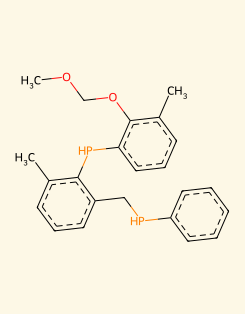 COCOc1c(C)cccc1Pc1c(C)cccc1CPc1ccccc1